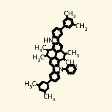 CC1=CC(c2ccc3c(c2)c2cc4c5c(c2n3-c2ccccc2)C(C)C(C)c2cc3c([nH]c6ccc(-c7cc(C)cc(C)c7)cc63)c(c2-5)C(C)C4C)CC(C)=C1